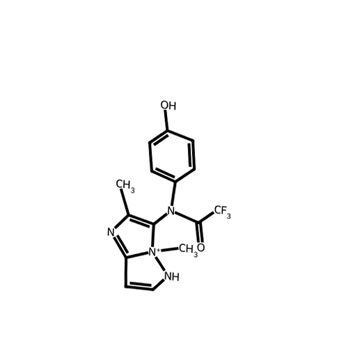 CC1=C(N(C(=O)C(F)(F)F)c2ccc(O)cc2)[N+]2(C)NC=CC2=N1